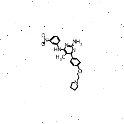 Cc1c(Nc2cccc([N+](=O)[O-])c2)nc(N)nc1-c1ccc(OCCN2CCCC2)cc1